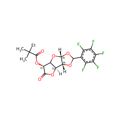 CCC(C)(C)C(=O)O[C@@H]1C(=O)O[C@H]2C1O[C@@H]1OC(c3c(F)c(F)c(F)c(F)c3F)O[C@@H]12